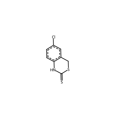 S=C1Nc2ccc(Cl)cc2CS1